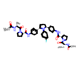 CC[C@@H](C)[C@H](NC(=O)OC)C(=O)N1CCC[C@H]1C(=O)Nc1ccc([C@@H]2CC[C@@H](c3ccc(NC(=O)[C@@H]4CCCN4C(=O)[C@@H](NC(=O)OC)[C@H](C)CC)cc3)N2c2ccc(F)cc2)cc1